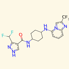 O=C(NC1CCC(Nc2cccc3nc(C(F)(F)F)cn23)CC1)c1c[nH]nc1C(F)F